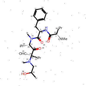 CN[C@H](C(=O)N[C@H](Cc1ccccc1)C(=O)N(C)[C@H](C(=O)[C@@]([C]=O)(C(C)C)N(C)CC(C)O)C(C)C)C(C)C